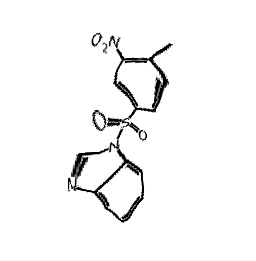 Cc1ccc(S(=O)(=O)n2cnc3ccccc32)cc1[N+](=O)[O-]